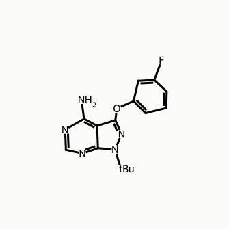 CC(C)(C)n1nc(Oc2cccc(F)c2)c2c(N)ncnc21